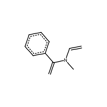 C=CN(C)C(=C)c1ccccc1